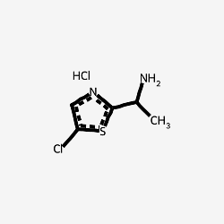 CC(N)c1ncc(Cl)s1.Cl